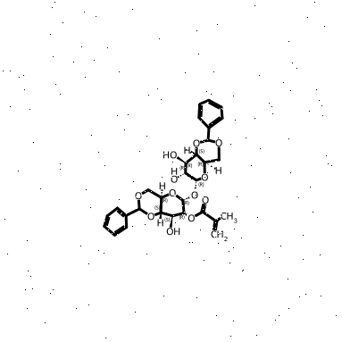 C=C(C)C(=O)O[C@H]1[C@@H](O[C@H]2O[C@@H]3COC(c4ccccc4)O[C@H]3[C@H](O)[C@H]2O)O[C@@H]2COC(c3ccccc3)O[C@H]2[C@@H]1O